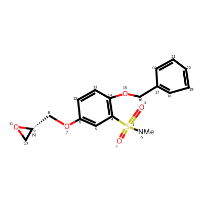 CNS(=O)(=O)c1cc(OC[C@@H]2CO2)ccc1OCc1ccccc1